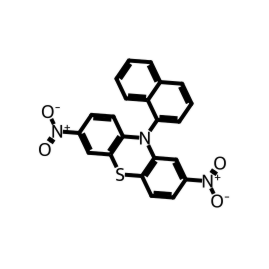 O=[N+]([O-])c1ccc2c(c1)Sc1ccc([N+](=O)[O-])cc1N2c1cccc2ccccc12